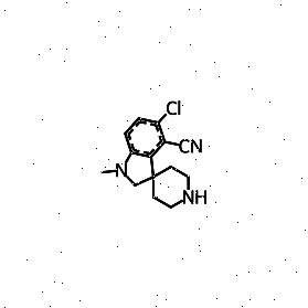 CN1CC2(CCNCC2)c2c1ccc(Cl)c2C#N